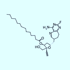 C#C[C@]1(CO)O[C@@H](CC2C=Nc3c(N)nc(F)nc3CC2)C[C@@H]1OC(=O)CCCCCCCCCCCCC